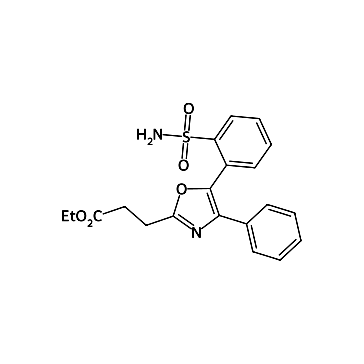 CCOC(=O)CCc1nc(-c2ccccc2)c(-c2ccccc2S(N)(=O)=O)o1